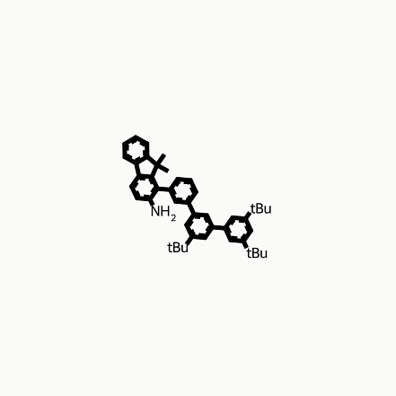 CC(C)(C)c1cc(-c2cccc(-c3c(N)ccc4c3C(C)(C)c3ccccc3-4)c2)cc(-c2cc(C(C)(C)C)cc(C(C)(C)C)c2)c1